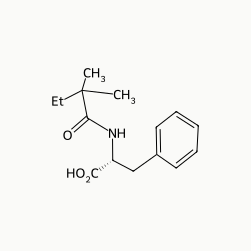 CCC(C)(C)C(=O)N[C@H](Cc1ccccc1)C(=O)O